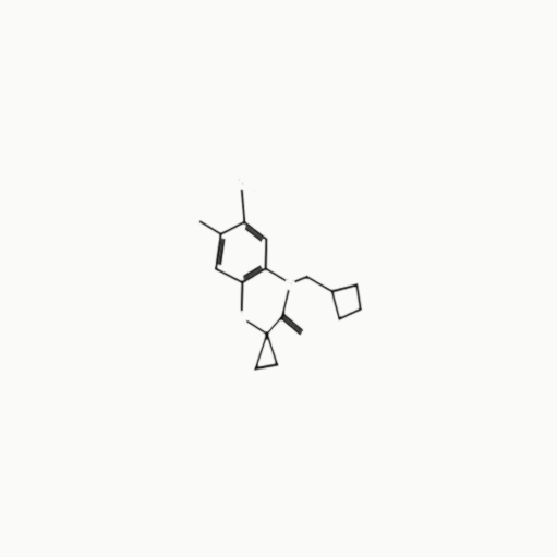 Nc1cc2c(cc1F)OC1(CC1)C(=O)N2CC1CCC1